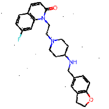 O=c1ccc2ccc(F)cc2n1CCN1CCC(NCc2ccc3c(c2)CCO3)CC1